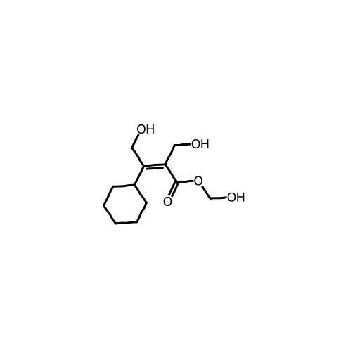 O=C(OCO)C(CO)=C(CO)C1CCCCC1